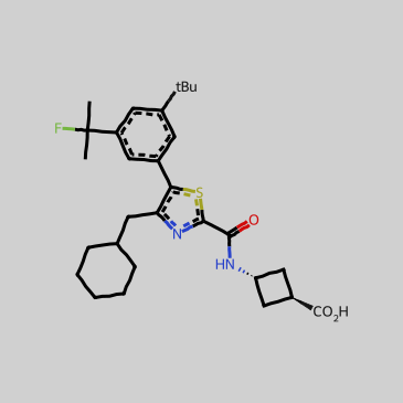 CC(C)(C)c1cc(-c2sc(C(=O)N[C@H]3C[C@H](C(=O)O)C3)nc2CC2CCCCC2)cc(C(C)(C)F)c1